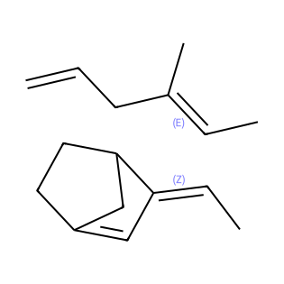 C/C=C1\C=C2CCC1C2.C=CC/C(C)=C/C